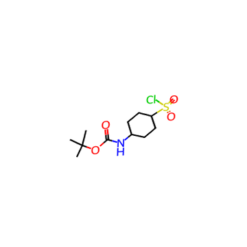 CC(C)(C)OC(=O)NC1CCC(S(=O)(=O)Cl)CC1